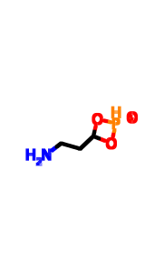 NCCC1O[PH](=O)O1